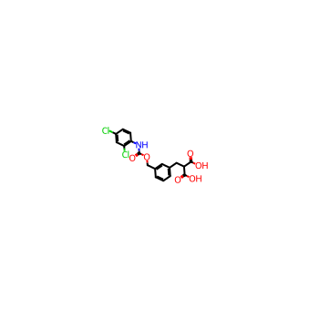 O=C(Nc1ccc(Cl)cc1Cl)OCc1cccc(CC(C(=O)O)C(=O)O)c1